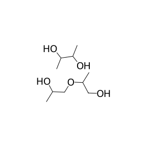 CC(O)C(C)O.CC(O)COC(C)CO